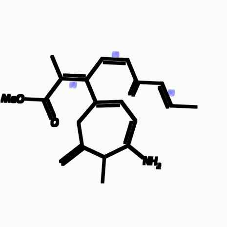 C=C(/C=C\C(C1=CC=C(N)C(C)C(=C)C1)=C(/C)C(=O)OC)/C=C/C